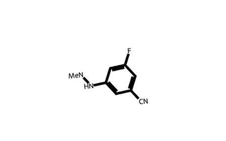 CNNc1cc(F)cc(C#N)c1